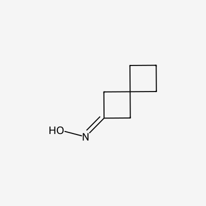 ON=C1CC2(CCC2)C1